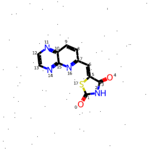 O=C1NC(=O)C(=Cc2ccc3nccnc3n2)S1